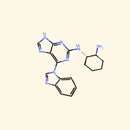 N[C@H]1CCCC[C@@H]1Nc1nc(-n2cnc3ccccc32)c2nc[nH]c2n1